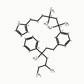 CCC(C)CC(C)(CCc1cccc(C(C)(C)CC(C)(C)CCCc2ccco2)c1)c1ccccc1